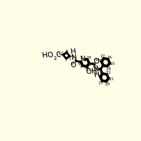 O=C(N[C@H]1C[C@H](C(=O)O)C1)c1cc(O)c(C(=O)NC(c2ccccc2)c2ccccc2)cn1